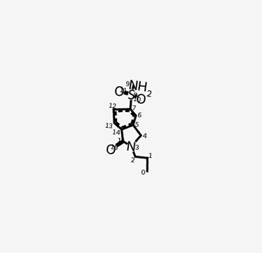 CCCN1Cc2cc(S(N)(=O)=O)ccc2C1=O